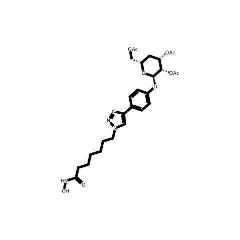 CC(=O)OC[C@@H]1C[C@H](OC(C)=O)[C@H](OC(C)=O)[C@@H](Oc2ccc(-c3cn(CCCCCCC(=O)NO)nn3)cc2)O1